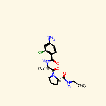 CC(C)(C)[C@H](NC(=O)c1ccc(N)cc1Cl)C(=O)N1CCC[C@H]1C(=O)NCC=O